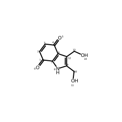 O=C1C=CC(=O)c2c1[nH]c(CO)c2CO